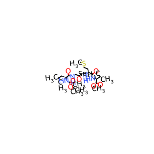 COC(=O)[C@@H](NC(=O)[C@H](CCSC)N[Se]C(=O)CNC(=O)[C@H](CC(C)C)NC(=O)OC(C)(C)C)C(C)C